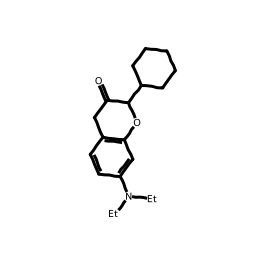 CCN(CC)c1ccc2c(c1)OC(C1CCCCC1)C(=O)C2